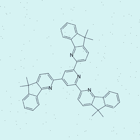 CC1(C)c2ccccc2-c2nc(-c3cc(-c4ccc5c(n4)-c4ccccc4C5(C)C)nc(-c4ccc5c(n4)-c4ccccc4C5(C)C)c3)ccc21